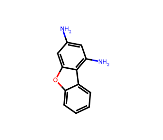 Nc1cc(N)c2c(c1)oc1ccccc12